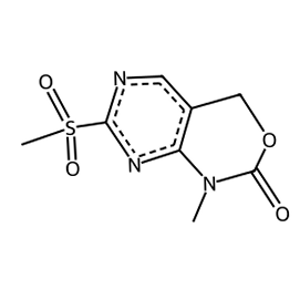 CN1C(=O)OCc2cnc(S(C)(=O)=O)nc21